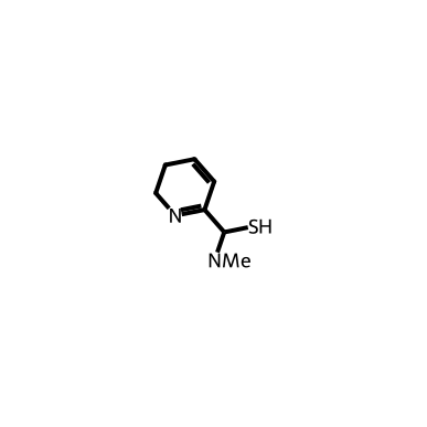 CNC(S)C1=NCCC=C1